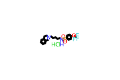 Cl.O=S(=O)(NCCCCCN1CCc2ccccc2C1)c1ccc(OC(F)(F)F)cc1